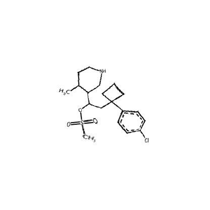 CC1CCNCC1C(CC1(c2ccc(Cl)cc2)CCC1)OS(C)(=O)=O